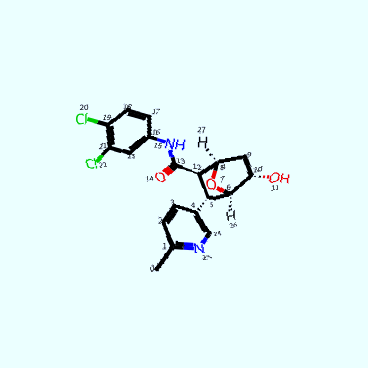 Cc1ccc([C@H]2[C@H]3O[C@H](C[C@@H]3O)[C@@H]2C(=O)Nc2ccc(Cl)c(Cl)c2)cn1